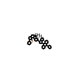 CC1(C)c2cc(-c3ccc(-c4c5ccccc5c(-c5ccccc5)c5ccccc45)c4ccccc34)ccc2-c2c1ccc1ccc3c4ccccc4sc3c21